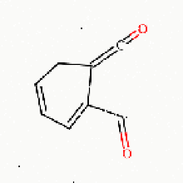 O=[C]C1=CC=CCC1=C=O